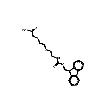 COC(=O)COCCOCCNC(=O)OCC1c2ccccc2-c2ccccc21